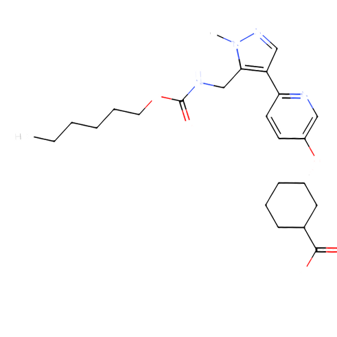 CCCCCCOC(=O)NCc1c(-c2ccc(O[C@H]3CCCC(C(=O)O)C3)cn2)cnn1C